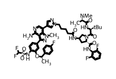 CN[C@@H](C)C(=O)N[C@H](C(=O)N1CC(NC(=O)CCCCn2cc(-c3cnc(N)c4c(-c5ccc(NS(=O)(=O)C(F)F)c(O[C@@H](C)c6ccc(F)cc6)c5)nn(C)c34)cn2)C[C@H]1C(=O)Nc1c(F)cccc1F)C(C)(C)C